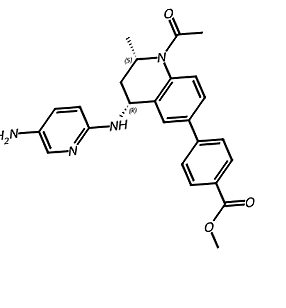 COC(=O)c1ccc(-c2ccc3c(c2)[C@H](Nc2ccc(N)cn2)C[C@H](C)N3C(C)=O)cc1